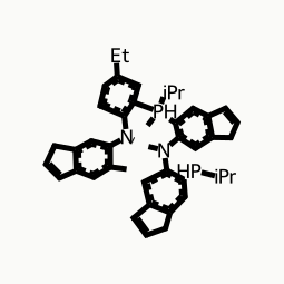 CCc1ccc(N(C)c2cc3c(cc2C)C=CC3)c([PH](C)(c2cc3c(cc2N(C)c2cc4c(cc2PC(C)C)CC=C4)CC=C3)C(C)C)c1